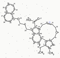 CCc1c2c(nn1C)COC/C=C\Cn1c(C(=O)O)c(CCCOc3cccc4ccccc34)c3ccc(F)c-2c31